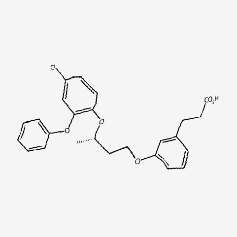 C[C@@H](CCOc1cccc(CCC(=O)O)c1)Oc1ccc(Cl)cc1Oc1ccccc1